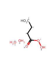 O.O.O=C(O)CCC(=O)OO